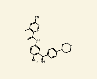 Cc1cc(C#N)cnc1C(=O)Nc1ccc(N)c(C(=N)c2ccc(N3CCOCC3)cc2)c1